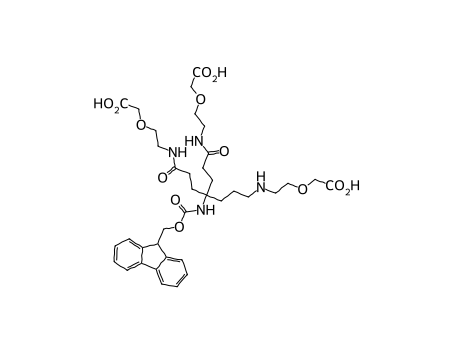 O=C(O)COCCNCCCC(CCC(=O)NCCOCC(=O)O)(CCC(=O)NCCOCC(=O)O)NC(=O)OCC1c2ccccc2-c2ccccc21